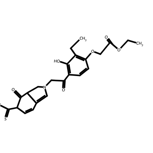 CCOC(=O)COc1ccc(C(=O)CN2C=C3C=CC(C(N)=S)C(=O)C3C2)c(O)c1CC